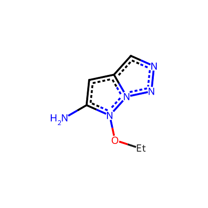 CCOn1c(N)cc2cnnn21